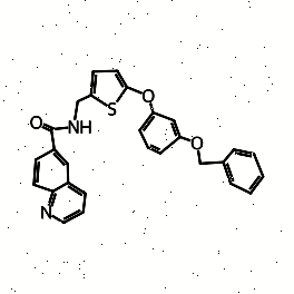 O=C(NCc1ccc(Oc2cccc(OCc3ccccc3)c2)s1)c1ccc2ncccc2c1